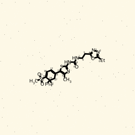 CCc1nnc(CCNC(=O)Nc2nc(C)c(C3=CC=C(S(C)(=O)=O)C(F)(F)C3)s2)o1